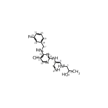 CC(O)CN/C=C(\C=N)Nc1ncc(Cl)c(NCc2cccc(F)c2)n1